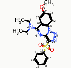 CCN(CC)c1nc2c(S(=O)(=O)c3ccccc3)nnn2c2ccc(OC)cc12